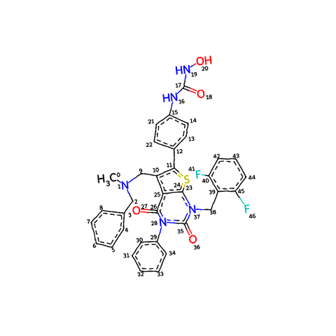 CN(Cc1ccccc1)Cc1c(-c2ccc(NC(=O)NO)cc2)sc2c1c(=O)n(-c1ccccc1)c(=O)n2Cc1c(F)cccc1F